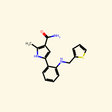 Cc1[nH]c(-c2ccccc2NCc2cccs2)cc1C(N)=O